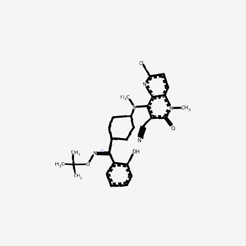 CN(c1c(C#N)c(=O)n(C)c2ccc(Cl)nc12)C1CCC(/C(=N/OC(C)(C)C)c2ccccc2O)CC1